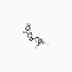 Cc1nc2ccc(-c3ccn4nc(NC5CCC(F)(F)CC5)ncc34)nc2n1CCF